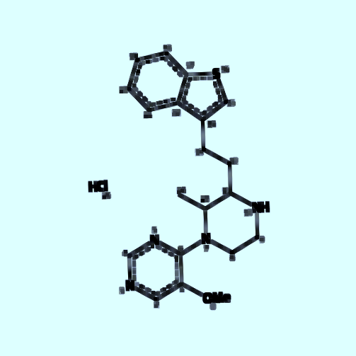 COc1cncnc1N1CCNC(CCc2csc3ccccc23)C1C.Cl